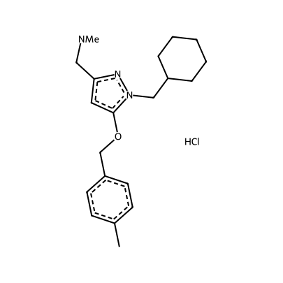 CNCc1cc(OCc2ccc(C)cc2)n(CC2CCCCC2)n1.Cl